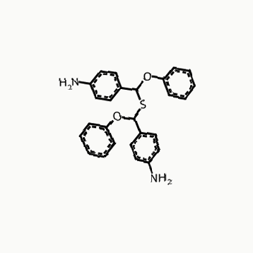 Nc1ccc(C(Oc2ccccc2)SC(Oc2ccccc2)c2ccc(N)cc2)cc1